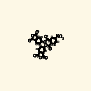 O=C1OC(=O)c2cc(OC(=O)c3ccc([N+](=O)[O-])cc3C(=O)Oc3ccc4c(c3)C(=O)OC4=O)ccc21